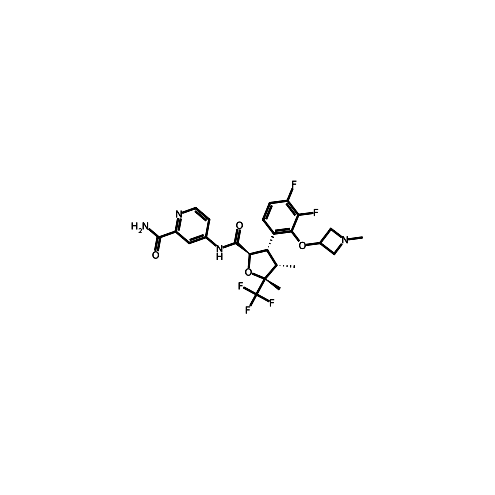 C[C@H]1[C@@H](c2ccc(F)c(F)c2OC2CN(C)C2)[C@H](C(=O)Nc2ccnc(C(N)=O)c2)O[C@@]1(C)C(F)(F)F